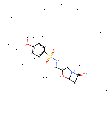 COc1ccc(S(=O)(=O)NCC2CN3C(=O)CC3O2)cc1